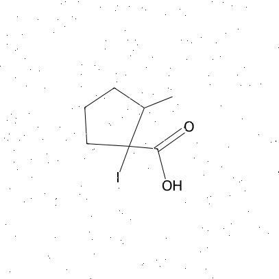 CC1CCCC1(I)C(=O)O